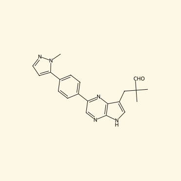 Cn1nccc1-c1ccc(-c2cnc3[nH]cc(CC(C)(C)C=O)c3n2)cc1